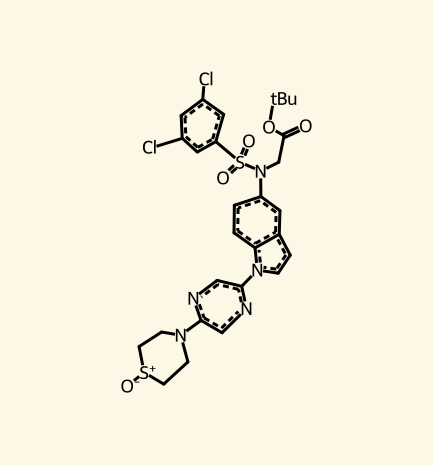 CC(C)(C)OC(=O)CN(c1ccc2c(ccn2-c2cnc(N3CC[S+]([O-])CC3)cn2)c1)S(=O)(=O)c1cc(Cl)cc(Cl)c1